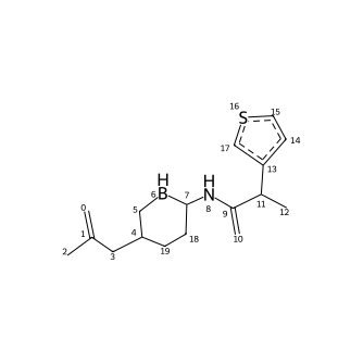 C=C(C)CC1CBC(NC(=C)C(C)c2ccsc2)CC1